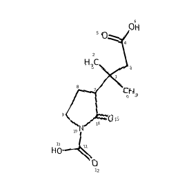 CC(C)(CC(=O)O)C1CCN(C(=O)O)C1=O